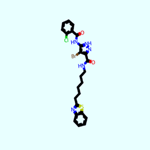 O=C(Nc1[nH]nc(C(=O)NCCCCCCc2nc3ccccc3s2)c1Br)c1ccccc1Cl